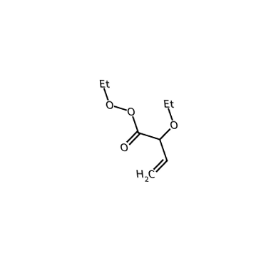 C=CC(OCC)C(=O)OOCC